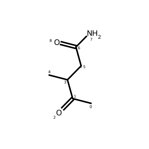 CC(=O)C(C)[CH]C(N)=O